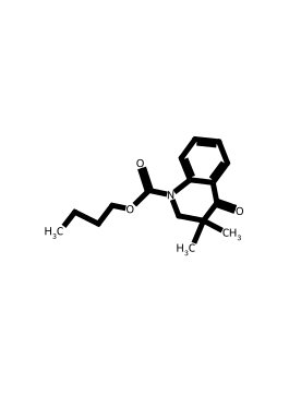 CCCCOC(=O)N1CC(C)(C)C(=O)c2ccccc21